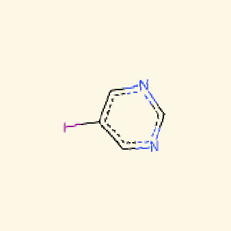 Ic1cncnc1